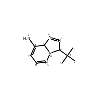 CC(C)(C)C1N=NC2C(N)=CC=NN21